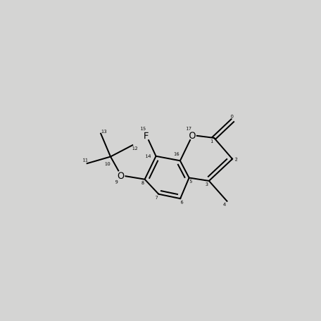 C=C1C=C(C)c2ccc(OC(C)(C)C)c(F)c2O1